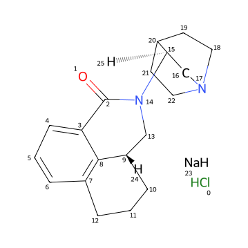 Cl.O=C1c2cccc3c2[C@@H](CCC3)CN1[C@@H]1CN2CCC1CC2.[NaH]